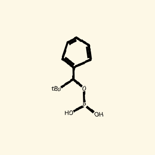 CC(C)(C)C(OP(O)O)c1ccccc1